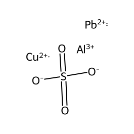 O=S(=O)([O-])[O-].[Al+3].[Cu+2].[Pb+2]